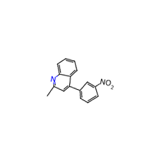 Cc1cc(-c2cccc([N+](=O)[O-])c2)c2ccccc2n1